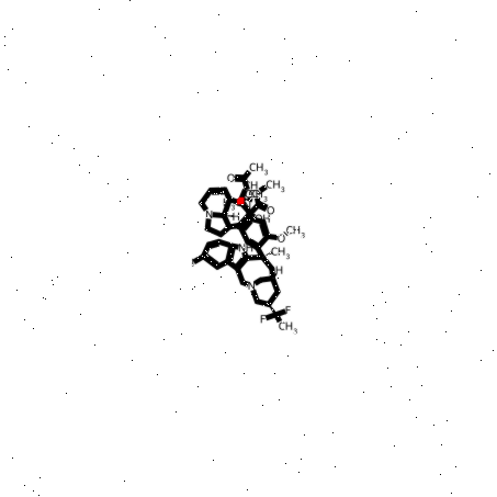 CC[C@]12C=CCN3CC[C@](c4cc([C@@]5(C)C[C@H]6C[C@@H](C(C)(F)F)CN(Cc7c5[nH]c5ccc(I)cc75)C6)c(OC)cc4N(C)C)(C[C@@](O)(C(=O)OC)[C@@H]1OC(C)=O)[C@@H]32